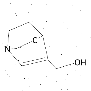 OCC1=CN2CCC1CC2